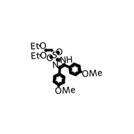 CCOC(CS(=O)(=O)c1nc(-c2ccc(OC)cc2)c(-c2ccc(OC)cc2)[nH]1)OCC